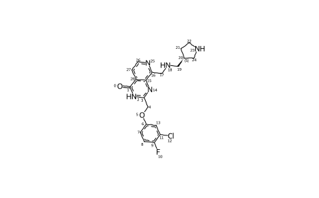 O=c1[nH]c(COc2ccc(F)c(Cl)c2)nc2c(CNC[C@H]3CCNC3)nccc12